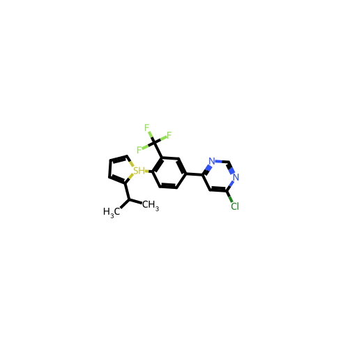 CC(C)C1=CC=C[SH]1c1ccc(-c2cc(Cl)ncn2)cc1C(F)(F)F